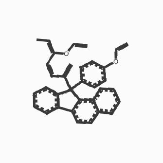 C=COC(/C=C\C(=C)C1(c2ccc(OC=C)cc2)c2ccccc2-c2ccc3ccccc3c21)=C/C